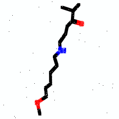 COCCCCCCNCCCC(=O)C(C)C